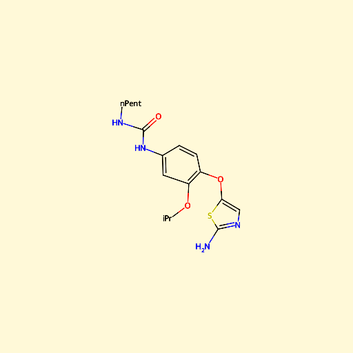 CCCCCNC(=O)Nc1ccc(Oc2cnc(N)s2)c(OC(C)C)c1